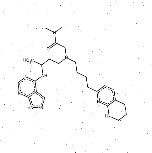 CN(C)C(=O)CN(CCCCc1ccc2c(n1)NCCC2)CCC(Nc1ncnc2[nH]ncc12)C(=O)O